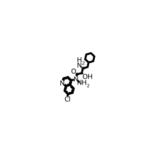 N[C@H](CC1CCCCC1)C(O)C(=O)N(N)c1ccnc2cc(Cl)ccc12